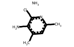 Cc1cc(C)c(N)c(Cl)n1.N